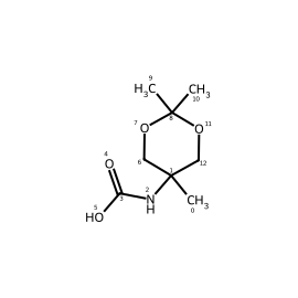 CC1(NC(=O)O)COC(C)(C)OC1